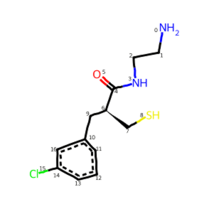 NCCNC(=O)[C@@H](CS)Cc1cccc(Cl)c1